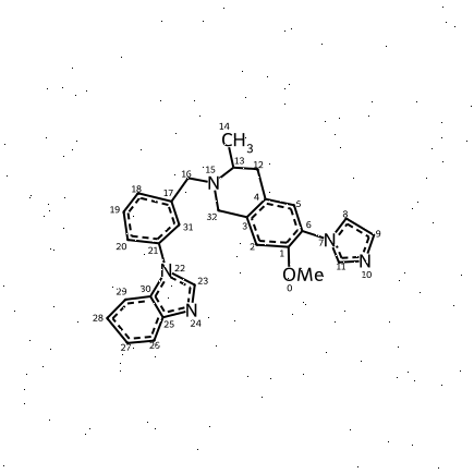 COc1cc2c(cc1-n1ccnc1)CC(C)N(Cc1cccc(-n3cnc4ccccc43)c1)C2